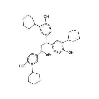 CCCC(CC(c1ccc(O)c(C2CCCCC2)c1)c1ccc(O)c(C2CCCCC2)c1)c1ccc(O)c(C2CCCCC2)c1